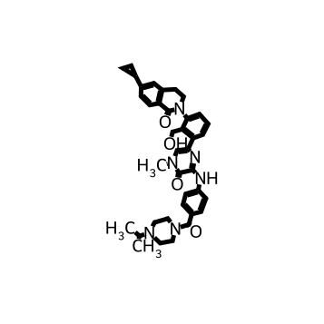 CC(C)N1CCN(C(=O)c2ccc(Nc3nc(-c4cccc(N5CCc6cc(C7CC7)ccc6C5=O)c4CO)cn(C)c3=O)cc2)CC1